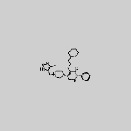 Cc1nc[nH]c1CN1CCN(c2cnn(-c3ccccc3)c(=O)c2OCCC2CCCCC2)CC1